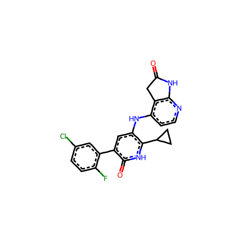 O=C1Cc2c(Nc3cc(-c4cc(Cl)ccc4F)c(=O)[nH]c3C3CC3)ccnc2N1